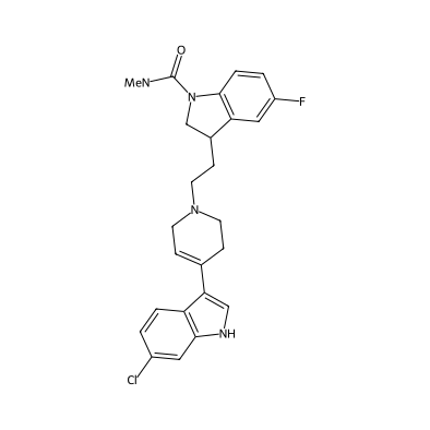 CNC(=O)N1CC(CCN2CC=C(c3c[nH]c4cc(Cl)ccc34)CC2)c2cc(F)ccc21